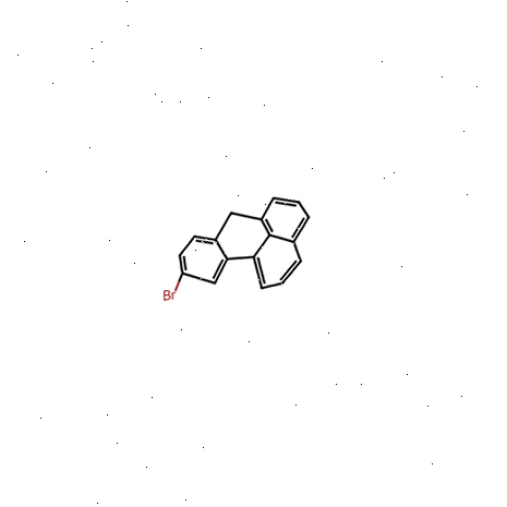 Brc1ccc2c(c1)-c1cccc3cccc(c13)C2